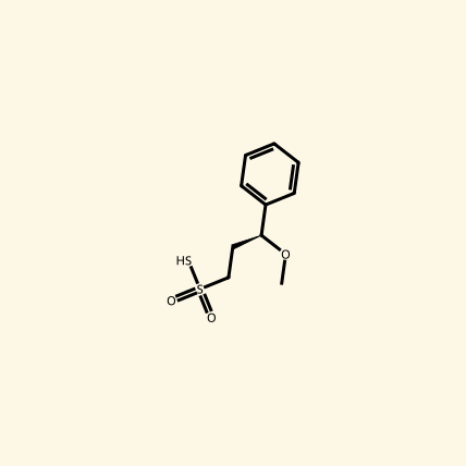 CO[C@@H](CCS(=O)(=O)S)c1ccccc1